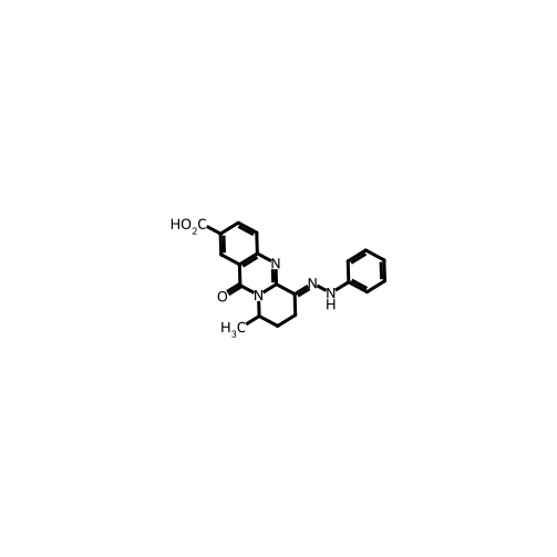 CC1CCC(=NNc2ccccc2)c2nc3ccc(C(=O)O)cc3c(=O)n21